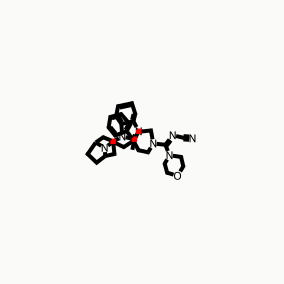 Cc1nc2ccccc2n1C1CC2CCC(C1)N2CCC1(c2ccccc2)CCN(C(=NC#N)N2CCOCC2)CC1